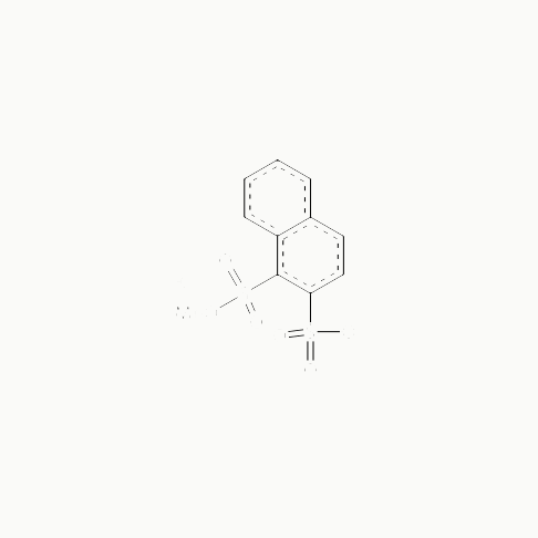 COS(=O)(=O)c1c(S(=O)(=O)[O-])ccc2ccccc12.[K+]